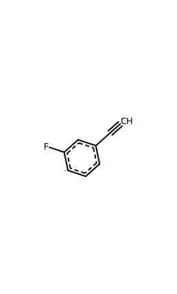 C#Cc1cc[c]c(F)c1